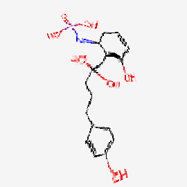 O=P(O)(O)N=C1CC=CC(O)=C1C(O)(O)CCCc1ccc(O)cc1